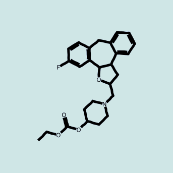 CCOC(=O)OC1CCN(CC2CC3c4ccccc4Cc4ccc(F)cc4C3O2)CC1